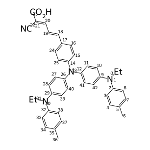 CCN(c1ccc(C)cc1)c1ccc(N(c2ccc(/C=C/C=C(\C#N)C(=O)O)cc2)c2ccc(N(CC)c3ccc(C)cc3)cc2)cc1